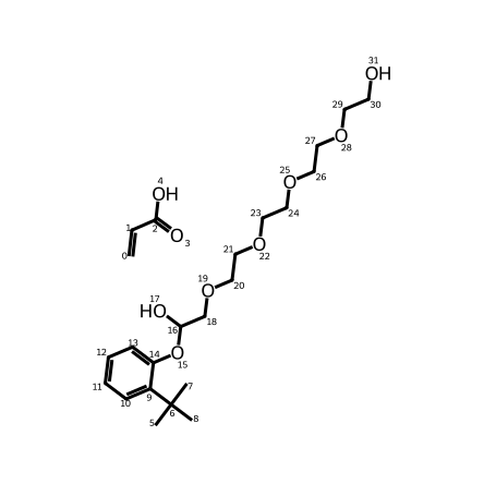 C=CC(=O)O.CC(C)(C)c1ccccc1OC(O)COCCOCCOCCOCCO